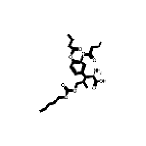 CCCCCOC(=O)OCC(C)C(c1ccc(OC(=O)CCC)c(OC(=O)CCC)c1)[C@H](N)C(=O)O